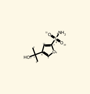 CC(C)(O)c1coc(S(N)(=O)=O)c1